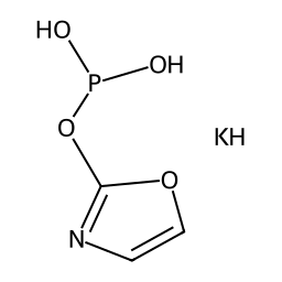 OP(O)Oc1ncco1.[KH]